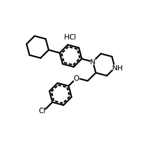 Cl.Clc1ccc(OCC2CNCCN2c2ccc(C3CCCCC3)cc2)cc1